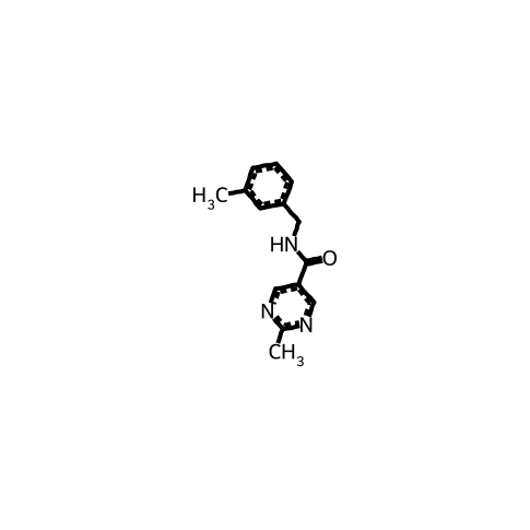 Cc1cccc(CNC(=O)c2cnc(C)nc2)c1